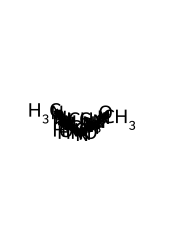 CCn1cc(-c2nnc(NC(=O)Nc3cn(CC)c4nc(N5CCN(C)CC5)c(F)cc4c3=O)o2)c(=O)c2cc(F)c(N3CCN(C(C)=O)CC3)cc21